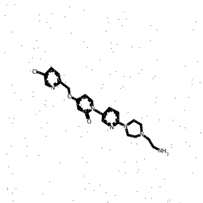 NCCN1CCN(c2ccc(-n3ccc(OCc4ccc(Cl)cn4)cc3=O)cn2)CC1